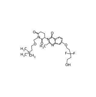 Cc1nc2cc(OCCC(F)(F)CCO)ccc2c(=O)n1C1CCC(=O)N(COCC[Si](C)(C)C)C1=O